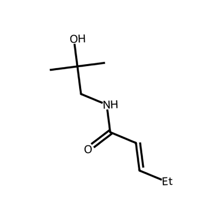 CCC=CC(=O)NCC(C)(C)O